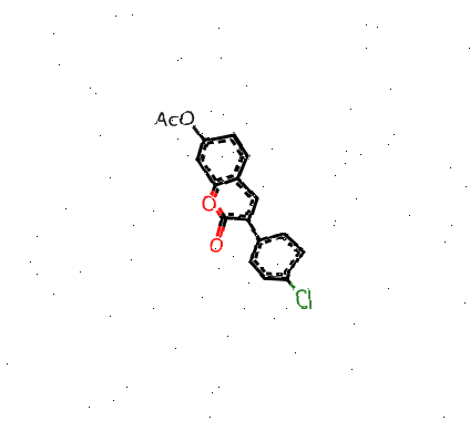 CC(=O)Oc1ccc2cc(-c3ccc(Cl)cc3)c(=O)oc2c1